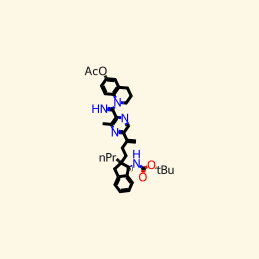 C=C(CCC1(CCC)Cc2ccccc2[C@H]1NC(=O)OC(C)(C)C)c1cnc(C(=N)N2CCCc3cc(OC(C)=O)ccc32)c(C)n1